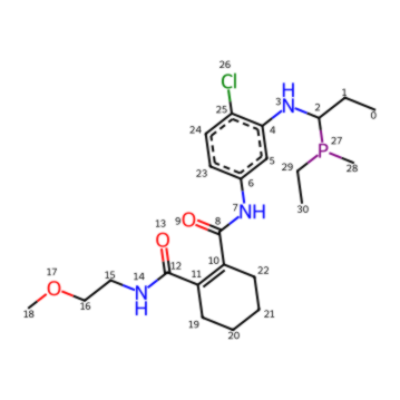 CCC(Nc1cc(NC(=O)C2=C(C(=O)NCCOC)CCCC2)ccc1Cl)P(C)CC